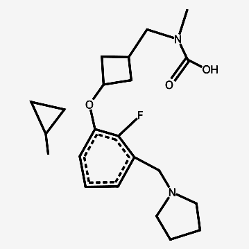 CC1CC1.CN(CC1CC(Oc2cccc(CN3CCCC3)c2F)C1)C(=O)O